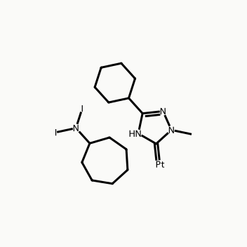 Cn1nc(C2CCCCC2)[nH][c]1=[Pt].IN(I)C1CCCCCC1